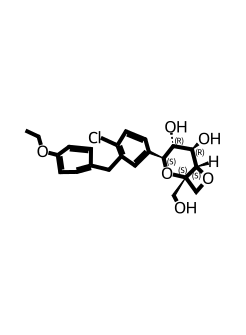 CCOc1ccc(Cc2cc([C@@H]3O[C@@]4(CO)CO[C@H]4[C@H](O)[C@H]3O)ccc2Cl)cc1